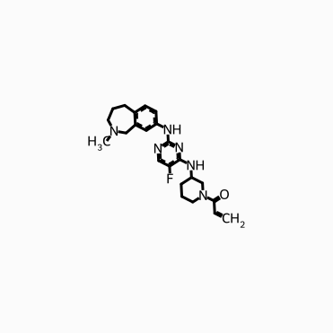 C=CC(=O)N1CCCC(Nc2nc(Nc3ccc4c(c3)CN(C)CCC4)ncc2F)C1